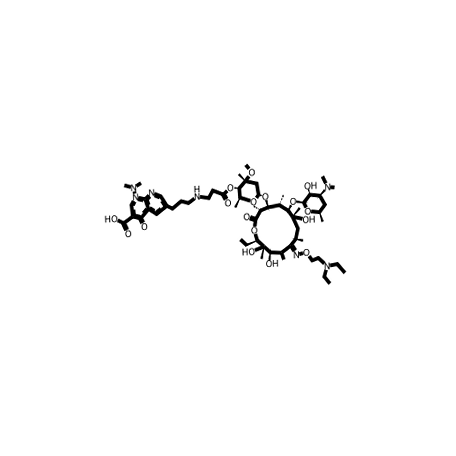 CC[C@H]1OC(=O)[C@H](C)[C@@H](O[C@H]2C[C@@](C)(OC)[C@@H](OC(=O)CCNCCCc3cnc4c(c3)c(=O)c(C(=O)O)cn4N(C)C)[C@H](C)O2)[C@H](C)[C@@H](O[C@@H]2O[C@H](C)C[C@H](N(C)C)[C@H]2O)[C@](C)(O)C[C@@H](C)/C(=N\OCCN(CC)CC)C(C)[C@@H](O)[C@]1(C)O